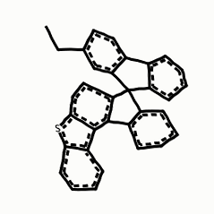 CCc1ccc2c(c1)C1(c3ccccc3-2)c2ccccc2-c2c1ccc1sc3ccccc3c21